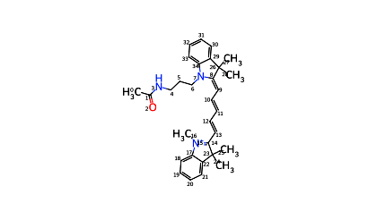 CC(=O)NCCCN1\C(=C/C=C/C=C/C2=[N+](C)c3ccccc3C2(C)C)C(C)(C)c2ccccc21